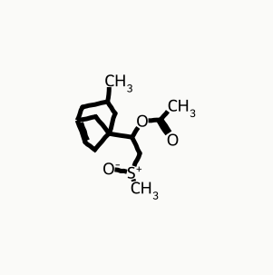 CC(=O)OC(C[S+](C)[O-])C12CC=C(CC(C)C1)C2